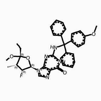 CC[C@@]1(OC)O[C@@H](n2cnc3c(=O)[nH]c(NC(c4ccccc4)(c4ccccc4)c4ccc(OC)cc4)nc32)[C@H](F)[C@@H]1C